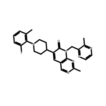 Cc1ncc2cc(C3CCN(c4c(C)cccc4F)CC3)c(=O)n(Cc3nccnc3C)c2n1